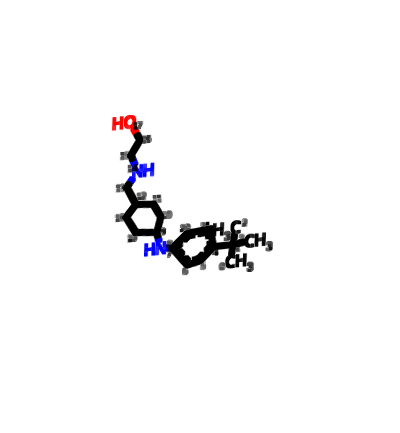 CC(C)(C)c1ccc(NC2CCC(CNCCO)CC2)cc1